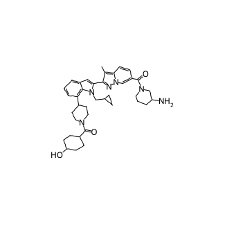 Cc1c(-c2cc3cccc(C4CCN(C(=O)C5CCC(O)CC5)CC4)c3n2CC2CC2)nn2cc(C(=O)N3CCCC(N)C3)ccc12